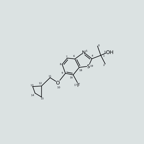 CC(C)(O)c1nc2ccc(OCC3CCC3)c(F)c2s1